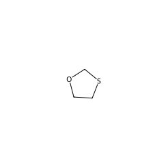 C1CSCO1